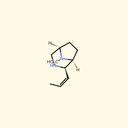 C/C=C\[C@H]1NC[C@H]2CC[C@@H]1N2C(=O)O